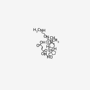 CNCCO/N=C1\CC[C@@]2(C)C(CC[C@H]3[C@@H]4CC[C@H](O)[C@@]4(C)CC[C@@H]32)C1(C)C.O=C(O)/C=C/C(=O)O